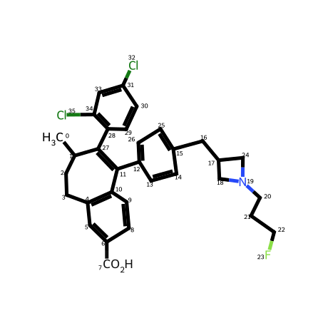 CC1CCc2cc(C(=O)O)ccc2C(c2ccc(CC3CN(CCCF)C3)cc2)=C1c1ccc(Cl)cc1Cl